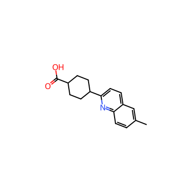 Cc1ccc2nc(C3CCC(C(=O)O)CC3)ccc2c1